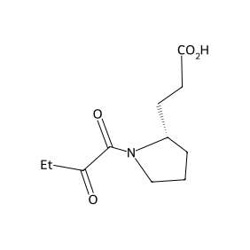 CCC(=O)C(=O)N1CCC[C@H]1CCC(=O)O